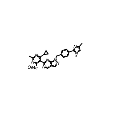 COc1nc(C)nc(C2CC2)c1-c1ncc2cnn(Cc3ccc(-c4nc(C)cn4C)cc3)c2n1